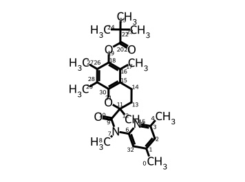 Cc1cc(C)nc(N(C)C(=O)C2(C)CCc3c(C)c(OC(=O)C(C)(C)C)c(C)c(C)c3O2)c1